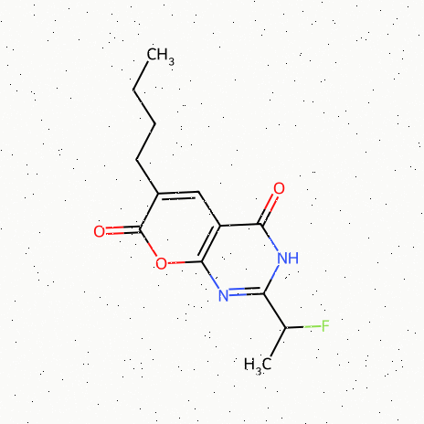 CCCCc1cc2c(=O)[nH]c(C(C)F)nc2oc1=O